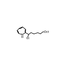 CCCCCCCCCCCCC(CC)C1=CC=CC=CN1